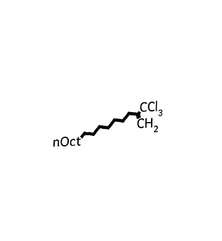 C=C(CCCCCCCCCCCCCCC)C(Cl)(Cl)Cl